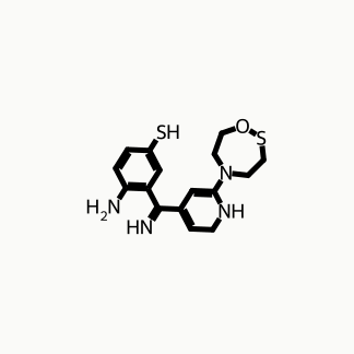 N=C(C1=CCNC(N2CCOSCC2)=C1)c1cc(S)ccc1N